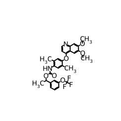 COc1cc2nccc(Oc3cc(C)c(NC(=O)OC(C)c4cccc(OC(F)(F)F)c4)cc3C)c2cc1OC